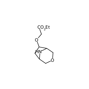 CCOC(=O)COC1CC2COCC1N2